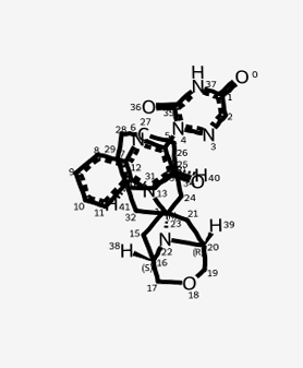 O=c1cnn(-c2nc3ccccc3n(C3C[C@H]4COC[C@@H](C3)N4[C@H]3C[C@@H]4CCCC[C@@H](C4)C3)c2=O)c(=O)[nH]1